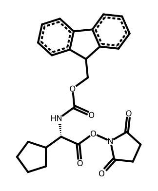 O=C(N[C@H](C(=O)ON1C(=O)CCC1=O)C1CCCC1)OCC1c2ccccc2-c2ccccc21